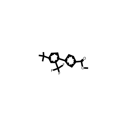 COC(=O)c1ccc(-c2ccc(C(C)(C)C)cc2C(F)(F)F)cc1